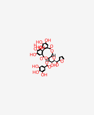 O=C(O[C@@H]1[C@@H](O)[C@H](C(=O)c2ccco2)O[C@@H]2COC(=O)c3cc(O)c(O)c(O)c3-c3c(cc(O)c(O)c3O)C(=O)O[C@@H]12)c1cc(O)c(O)c(O)c1